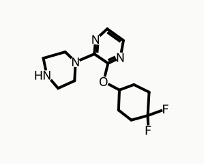 FC1(F)CCC(Oc2nccnc2N2CCNCC2)CC1